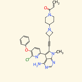 C=CC(=O)N1CCC(N2CC(C#Cc3c(-c4ccc(Oc5ccccc5)c(Cl)n4)c4c(N)ncnc4n3C)C2)CC1